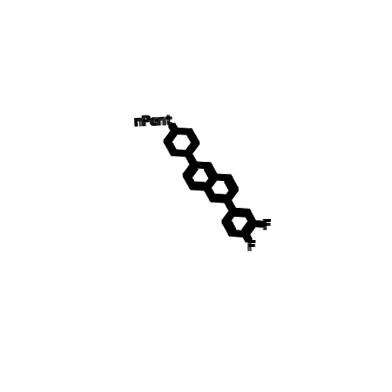 CCCCCC1CCC(c2ccc3cc(-c4ccc(F)c(F)c4)ccc3c2)CC1